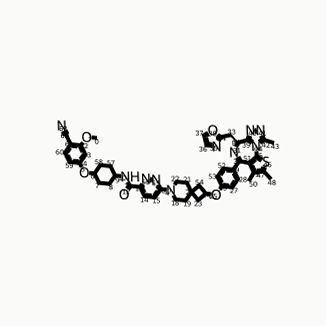 COc1cc(OC2CCC(NC(=O)c3ccc(N4CCC5(CC4)CC(Oc4ccc(C6=N[C@@H](Cc7ncco7)c7nnc(C)n7-c7sc(C)c(C)c76)cc4)C5)nn3)CC2)ccc1C#N